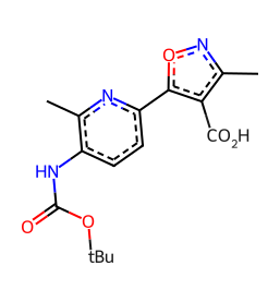 Cc1nc(-c2onc(C)c2C(=O)O)ccc1NC(=O)OC(C)(C)C